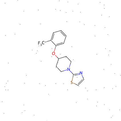 FC(F)(F)c1ccccc1OC1CCN(c2nccs2)CC1